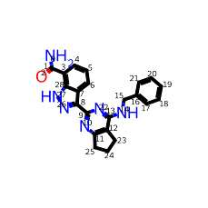 NC(=O)c1cccc2c(-c3nc4c(c(NCc5ccccc5)n3)CCC4)n[nH]c12